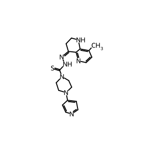 Cc1ccnc2c1NCC/C2=N/NC(=S)N1CCN(c2ccncc2)CC1